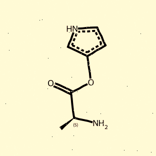 C[C@H](N)C(=O)Oc1cc[nH]c1